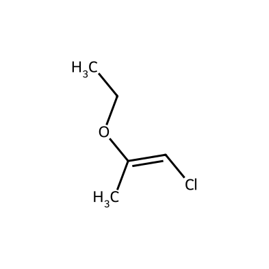 CCOC(C)=CCl